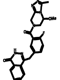 COC1CN(C(=O)c2cc(Cc3n[nH]c(=O)c4ccccc34)ccc2F)Cc2nnc(C)n21